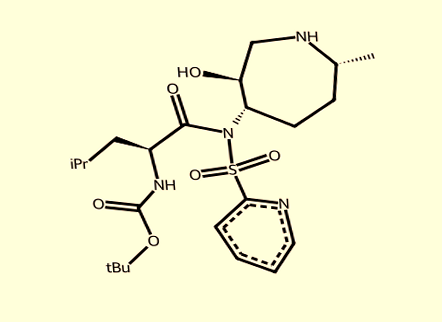 CC(C)C[C@H](NC(=O)OC(C)(C)C)C(=O)N([C@H]1CC[C@@H](C)NC[C@@H]1O)S(=O)(=O)c1ccccn1